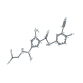 Cn1cc([S+]([O-])NCC(F)F)cc1C(=O)Nc1ccc(F)c(C#N)c1